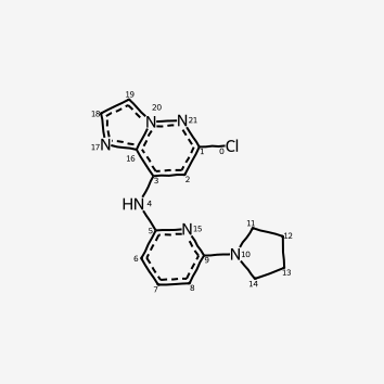 Clc1cc(Nc2cccc(N3CCCC3)n2)c2nccn2n1